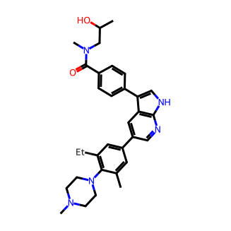 CCc1cc(-c2cnc3[nH]cc(-c4ccc(C(=O)N(C)CC(C)O)cc4)c3c2)cc(C)c1N1CCN(C)CC1